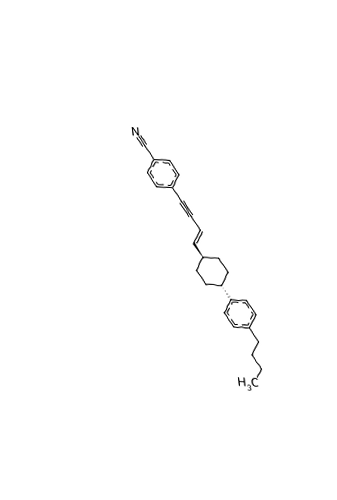 CCCCc1ccc([C@H]2CC[C@H](C=CC#Cc3ccc(C#N)cc3)CC2)cc1